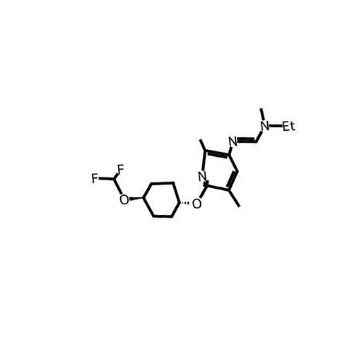 CCN(C)C=Nc1cc(C)c(O[C@H]2CC[C@H](OC(F)F)CC2)nc1C